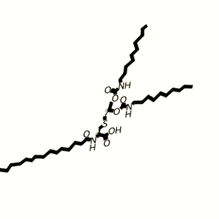 CCCCCCCCCCCCCCCC(=O)N[C@@H](CSC[C@H](COC(=O)NCCCCCCCCCC)OC(=O)NCCCCCCCCCC)C(=O)O